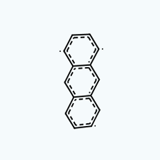 [c]1ccc2cc3[c]cc[c]c3cc2c1